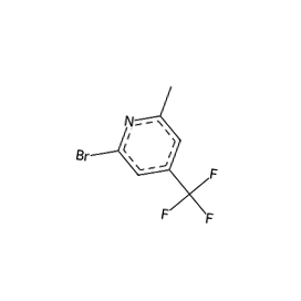 Cc1cc(C(F)(F)F)cc(Br)n1